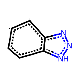 [c]1[c]c2nn[nH]c2cc1